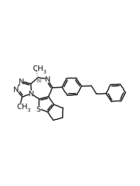 Cc1nnc2n1-c1sc3c(c1C(c1ccc(CCc4ccccc4)cc1)=N[C@H]2C)CCC3